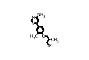 Cc1cc(-c2cc(N)ncn2)ccc1OC[C@H](C)CC(C)C